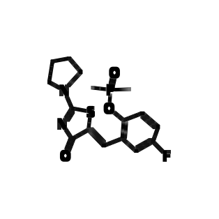 CP(C)(=O)Oc1ccc(F)cc1/C=C1\SC(N2CCCC2)=NC1=O